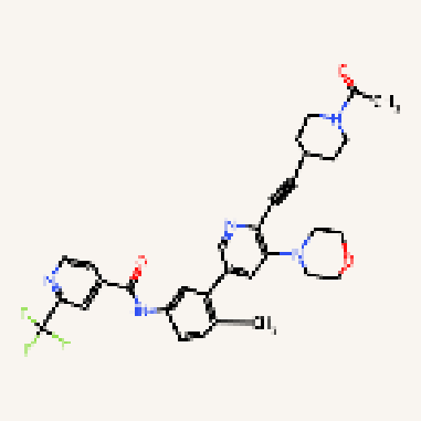 CC(=O)N1CCC(C#Cc2ncc(-c3cc(NC(=O)c4ccnc(C(F)(F)F)c4)ccc3C)cc2N2CCOCC2)CC1